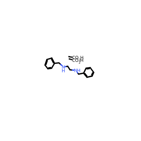 CC(=O)O.CC(=O)O.c1ccc(CNCCNCc2ccccc2)cc1